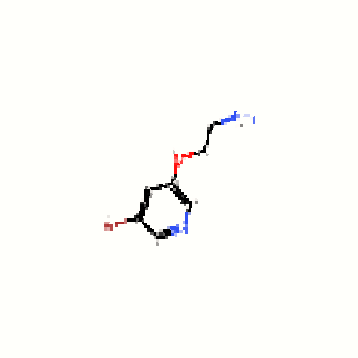 NCCOc1cncc(Br)c1